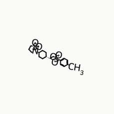 Cc1ccc(S(=O)(=O)OC[C@H]2CC[C@H](N3CCCS3(=O)=O)CC2)cc1